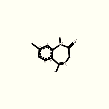 CC1=NCC(=O)N(C)c2cc(C)ccc21